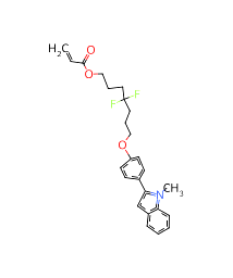 C=CC(=O)OCCCC(F)(F)CCCOc1ccc(-c2cc3ccccc3n2C)cc1